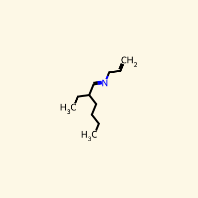 C=CCN=CC(CC)CCCC